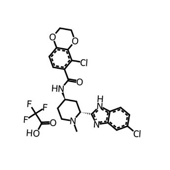 CN1CC[C@@H](NC(=O)c2ccc3c(c2Cl)OCCO3)C[C@@H]1c1nc2cc(Cl)ccc2[nH]1.O=C(O)C(F)(F)F